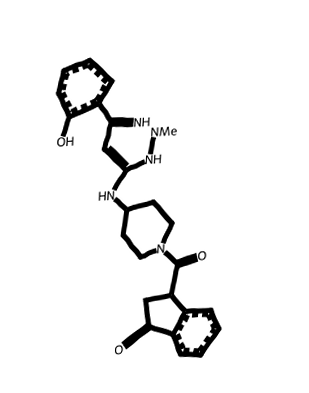 CNN/C(=C\C(=N)c1ccccc1O)NC1CCN(C(=O)C2CC(=O)c3ccccc32)CC1